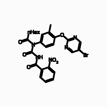 CCCCCCC(=O)N(C(=O)NC(=O)c1ccccc1[N+](=O)[O-])c1ccc(Oc2ncc(Br)cn2)c(C)c1